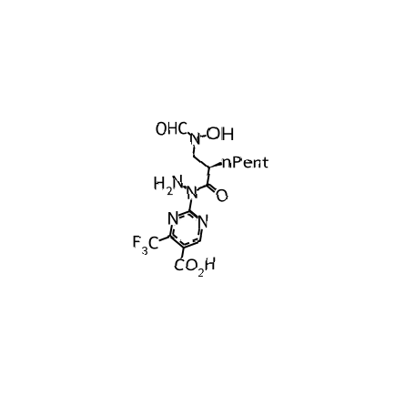 CCCCC[C@H](CN(O)C=O)C(=O)N(N)c1ncc(C(=O)O)c(C(F)(F)F)n1